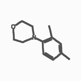 Cc1ccc(N2CCOCC2)c(C)c1